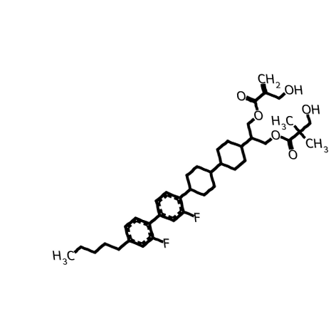 C=C(CO)C(=O)OCC(COC(=O)C(C)(C)CO)C1CCC(C2CCC(c3ccc(-c4ccc(CCCCC)cc4F)cc3F)CC2)CC1